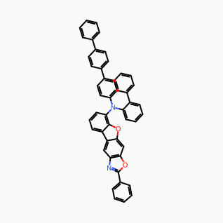 c1ccc(-c2ccc(-c3ccc(N(c4ccccc4-c4ccccc4)c4cccc5c4oc4cc6oc(-c7ccccc7)nc6cc45)cc3)cc2)cc1